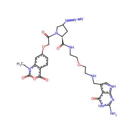 Cn1c(=O)oc(=O)c2ccc(OCC(=O)N3CC(N=[N+]=[N-])C[C@H]3C(=O)NCCOCCNCc3c[nH]c4nc(N)[nH]c(=O)c34)cc21